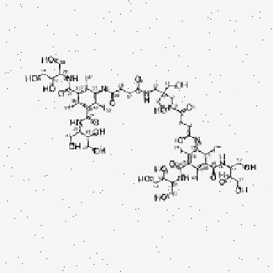 O=C(CCC(=O)NCC(CO)(CO)CNC(=O)CCC(=O)N=C1C(I)=C(C(=O)NC(CO)C(O)CO)C(I)=C(C(=O)NC(CO)C(O)CO)C1I)N=C1C(I)=C(C(=O)NC(CO)C(O)CO)C(I)=C(C(=O)NC(CO)C(O)CO)C1I